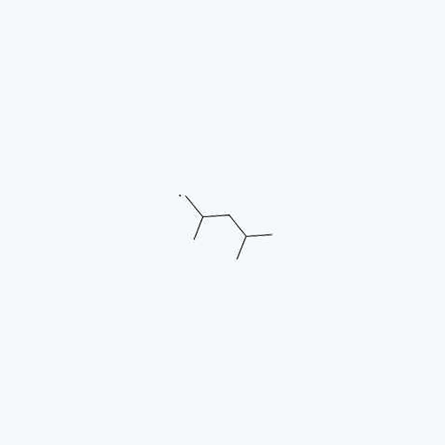 [CH2]C(C)CC(C)C